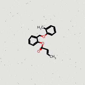 CC=CC(=O)Oc1ccccc1COc1ccccc1C